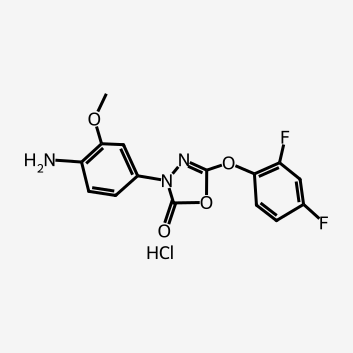 COc1cc(-n2nc(Oc3ccc(F)cc3F)oc2=O)ccc1N.Cl